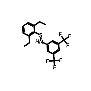 CCc1cccc(CC)c1SNc1cc(C(F)(F)F)cc(C(F)(F)F)c1